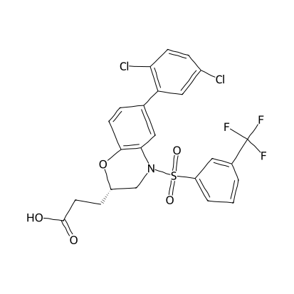 O=C(O)CC[C@H]1CN(S(=O)(=O)c2cccc(C(F)(F)F)c2)c2cc(-c3cc(Cl)ccc3Cl)ccc2O1